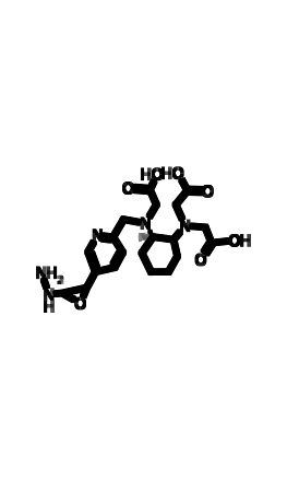 NNC1OC1c1ccc(CN(CC(=O)O)[C@H]2CCCCC2N(CC(=O)O)CC(=O)O)nc1